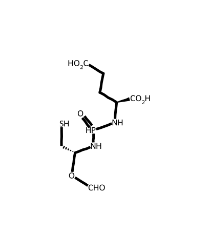 O=CO[C@H](CS)N[PH](=O)N[C@@H](CCC(=O)O)C(=O)O